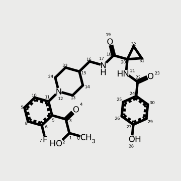 CC(O)C(=O)c1c(F)cccc1N1CCC(CNC(=O)C2(NC(=O)c3ccc(O)cc3)CC2)CC1